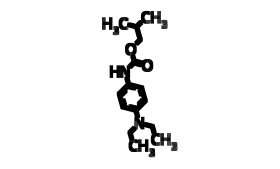 CCN(CC)c1ccc(NC(=O)OCC(C)C)cc1